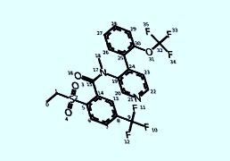 CCS(=O)(=O)c1ccc(C(F)(F)F)cc1C(=O)N(C)c1cnccc1-c1ccccc1OC(F)(F)F